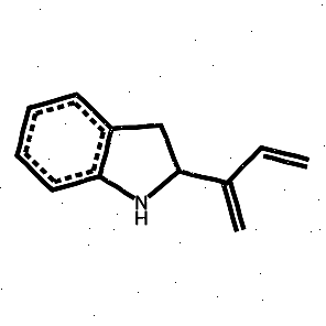 C=CC(=C)C1Cc2ccccc2N1